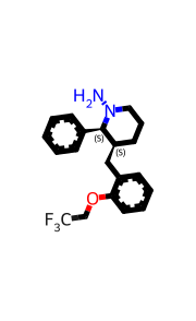 NN1CCC[C@@H](Cc2ccccc2OCC(F)(F)F)[C@H]1c1ccccc1